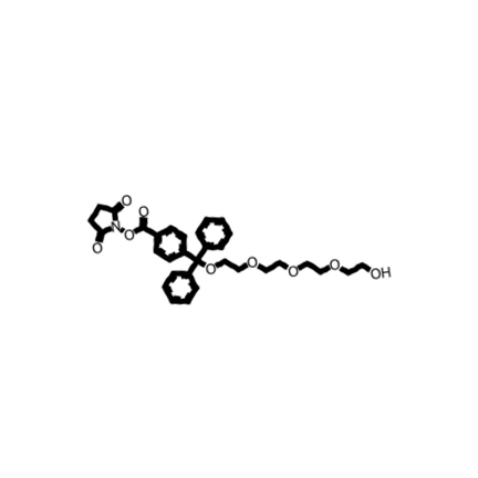 O=C(ON1C(=O)CCC1=O)c1ccc(C(OCCOCCOCCOCCO)(c2ccccc2)c2ccccc2)cc1